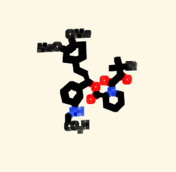 CCC(C)(C)C(=O)C(=O)N1CCCC[C@H]1C(=O)O[C@H](CCc1ccc(OC)c(OC)c1)c1cccc(NCC(=O)O)c1